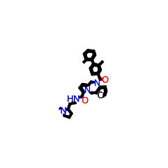 Cc1ccccc1-c1ccc(C(=O)N2Cc3ccc(C(=O)NCCC4CCCN4C)n3Cc3ccccc32)cc1C